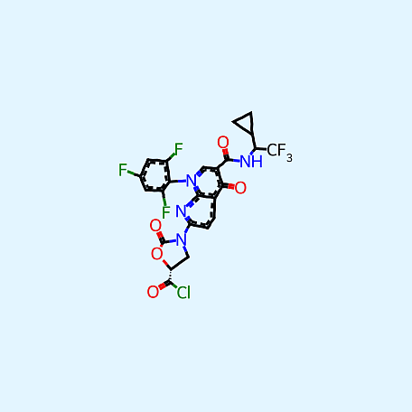 O=C(NC(C1CC1)C(F)(F)F)c1cn(-c2c(F)cc(F)cc2F)c2nc(N3C[C@H](C(=O)Cl)OC3=O)ccc2c1=O